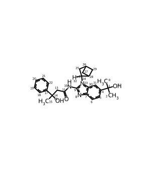 CC(C)(O)c1ccc2nc(NC(=O)CC(C)(O)c3ccccc3)n([C@@H]3CC4CC3C4)c2c1